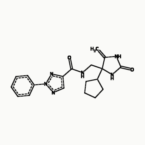 C=C1NC(=O)NC1(CNC(=O)c1cnn(-c2ccccc2)n1)C1CCCC1